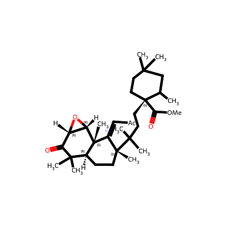 COC(=O)[C@]1(CCC(C)(C)[C@]2(C)CC[C@H]3C(C)(C)C(=O)[C@@H]4O[C@@H]4[C@]3(C)/C2=C/C(C)=O)CCC(C)(C)CC1C